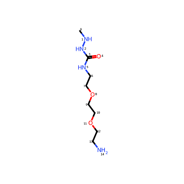 CNNC(=O)NCCOCCOCCN